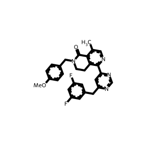 COc1ccc(CN2CCc3c(-c4cc(Cc5cc(F)cc(F)c5)ncn4)ncc(C)c3C2=O)cc1